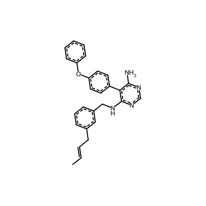 CC=CCc1cccc(CNc2ncnc(N)c2-c2ccc(Oc3ccccc3)cc2)c1